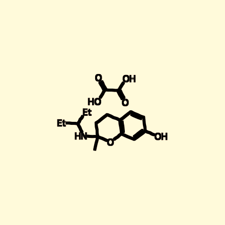 CCC(CC)NC1(C)CCc2ccc(O)cc2O1.O=C(O)C(=O)O